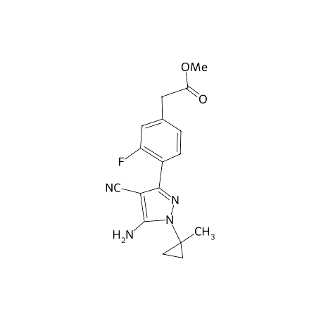 COC(=O)Cc1ccc(-c2nn(C3(C)CC3)c(N)c2C#N)c(F)c1